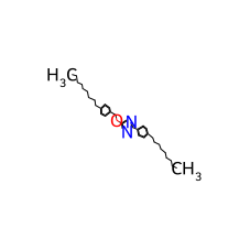 CCCCCCCCCc1ccc(COc2cnc(-c3ccc(CCCCCCCCC)cc3)nc2)cc1